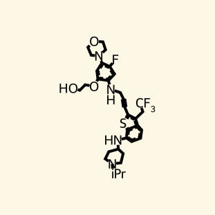 CC(C)N1CCC(Nc2cccc3c(CC(F)(F)F)c(C#CCNc4cc(F)c(N5CCOCC5)cc4OCCO)sc23)CC1